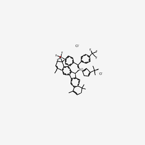 CC1=CCC(C)(C)c2cc3c(cc21)-c1cc2c(cc1[CH]3[Zr+2]([C]1=CC(C(C)(C)C)=CC1)=[C](c1ccc(C(F)(F)F)cc1)c1ccc(C(F)(F)F)cc1)C(C)(C)CC=C2C.[Cl-].[Cl-]